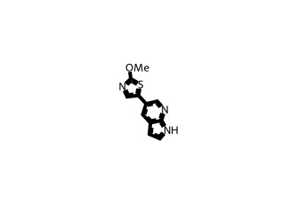 COc1ncc(-c2cnc3[nH]ccc3c2)s1